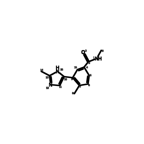 CNC(=O)c1ccc(C)c(-c2cnc(C)[nH]2)c1